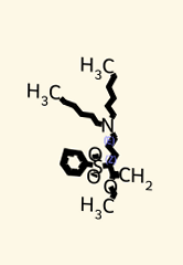 C=C(OCC)/C(=C/C=C/N(CCCCCC)CCCCCC)S(=O)(=O)c1ccccc1